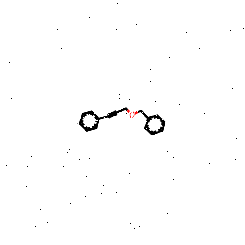 C(#Cc1cc[c]cc1)COCc1ccccc1